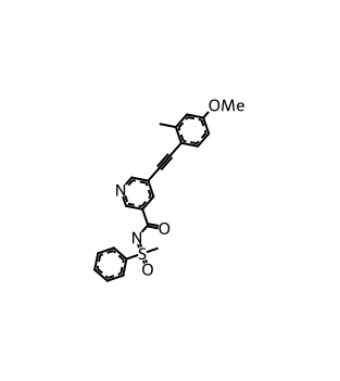 COc1ccc(C#Cc2cncc(C(=O)N=S(C)(=O)c3ccccc3)c2)c(C)c1